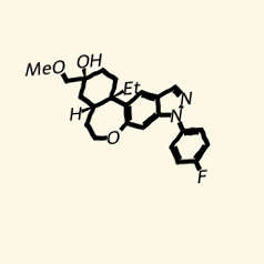 CC[C@]12CC[C@@](O)(COC)C[C@H]1CCOc1cc3c(cnn3-c3ccc(F)cc3)cc12